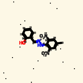 Cc1cc([N+](=O)[O-])c(N/N=C/c2ccccc2O)c([N+](=O)[O-])c1